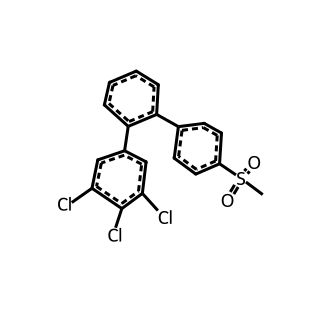 CS(=O)(=O)c1ccc(-c2ccccc2-c2cc(Cl)c(Cl)c(Cl)c2)cc1